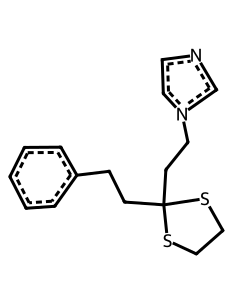 c1ccc(CCC2(CCn3ccnc3)SCCS2)cc1